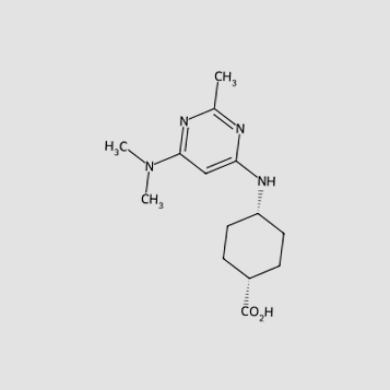 Cc1nc(N[C@H]2CC[C@@H](C(=O)O)CC2)cc(N(C)C)n1